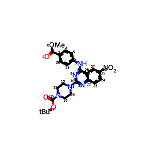 COC(=O)c1ccc(Nc2nc(N3CCN(C(=O)OC(C)(C)C)CC3)nc3ccc([N+](=O)[O-])cc23)cc1